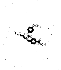 CCCCN(Cc1ccc(C(=O)NO)cc1)C(=O)Nc1ccc(OC)cc1